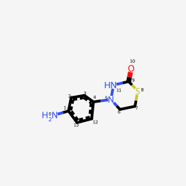 Nc1ccc(N2CCSC(=O)N2)cc1